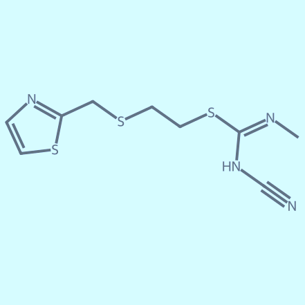 C/N=C(\NC#N)SCCSCc1nccs1